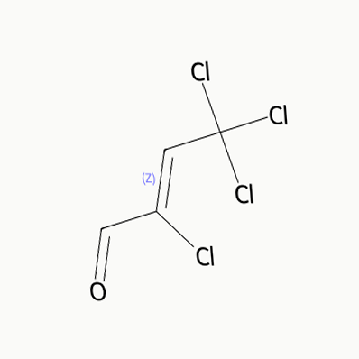 O=C/C(Cl)=C/C(Cl)(Cl)Cl